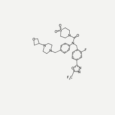 O=C(N1CCS(=O)(=O)CC1)N(Cc1ccc(-c2nnc(C(F)(F)F)o2)cc1F)c1ccc(CN2CCN(C3COC3)CC2)cc1